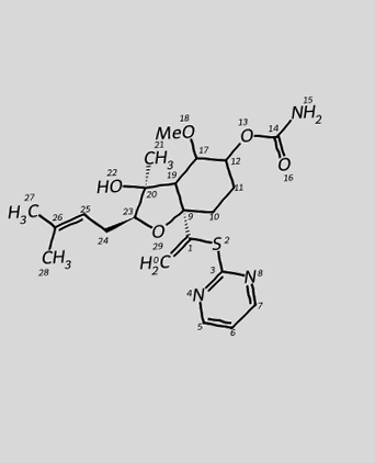 C=C(Sc1ncccn1)[C@@]12CCC(OC(N)=O)C(OC)C1[C@](C)(O)[C@H](CC=C(C)C)O2